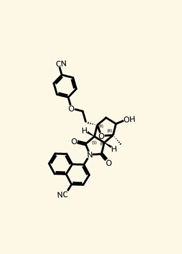 C[C@]12O[C@](CCOc3ccc(C#N)cc3)(CC1O)[C@H]1C(=O)N(c3ccc(C#N)c4ccccc34)C(=O)[C@H]12